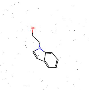 OCCn1ccc2c[c]ccc21